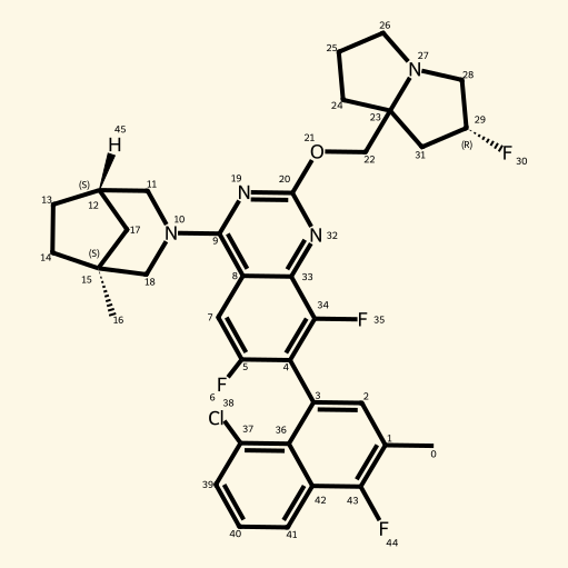 Cc1cc(-c2c(F)cc3c(N4C[C@H]5CC[C@@](C)(C5)C4)nc(OCC45CCCN4C[C@H](F)C5)nc3c2F)c2c(Cl)cccc2c1F